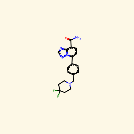 NC(=O)c1ccc(-c2ccc(CN3CCC(F)(F)CC3)cc2)n2n[c]nc12